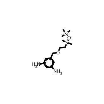 C[Si](C)(C)O[Si](C)(C)CCOCc1cc(N)cc(N)c1